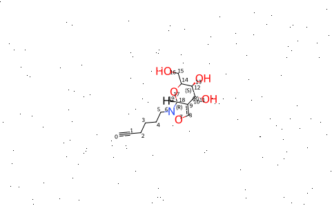 C#CCCCCN1OC=C2[C@@H](O)[C@H](O)C(CO)O[C@H]21